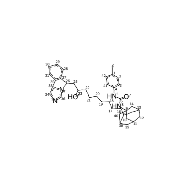 Cc1ccc(NC(=O)NC23CC4CC(C2)C(CCCCCCCC(O)CC2c5ccccc5-c5cncn52)C(C4)C3)cc1